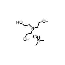 C[SiH](C)Cl.OCCN(CCO)CCO